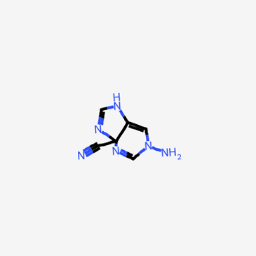 N#CC12N=CNC1=CN(N)C=N2